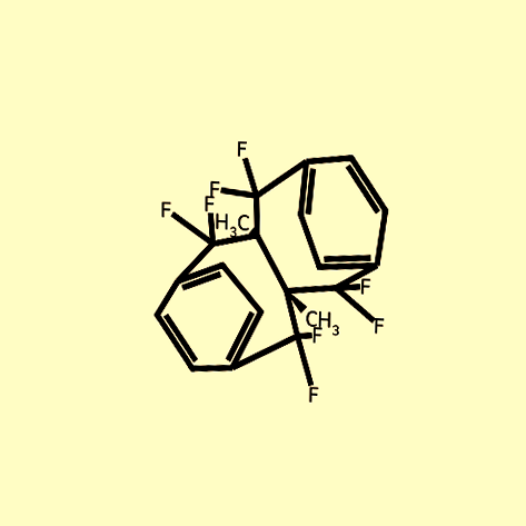 C[C@]12C(F)(F)c3ccc(cc3)C(F)(F)[C@@]1(C)C(F)(F)c1ccc(cc1)C2(F)F